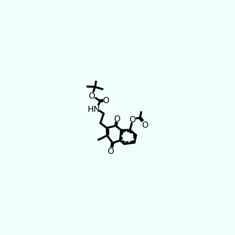 CC(=O)Oc1cccc2c1C(=O)C(CCNC(=O)OC(C)(C)C)=C(C)C2=O